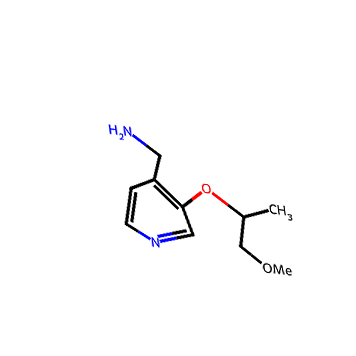 COCC(C)Oc1cnccc1CN